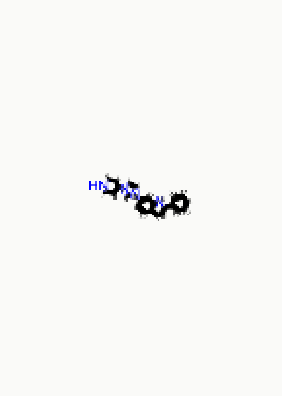 C1=CN(C2CCNCC2)CN1c1ccc2ccc(-c3ccccc3)nc2c1